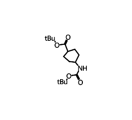 CC(C)(C)OC(=O)NC1CCC(C(=O)OC(C)(C)C)CC1